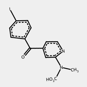 CN(C(=O)O)c1cc(C(=O)c2ccc(I)cc2)ccn1